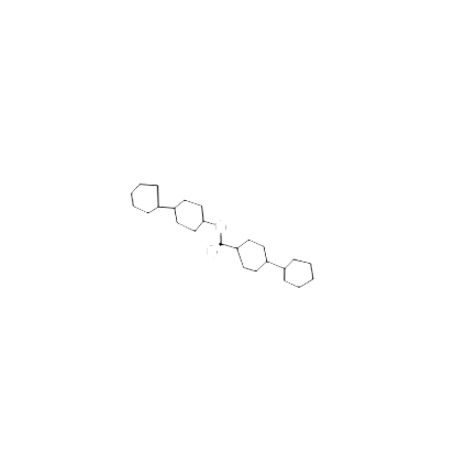 O=C(OC1CCC(C2CCCCC2)CC1)C1CCC(C2CCCCC2)CC1